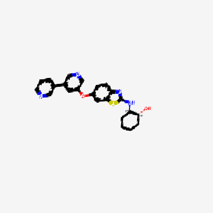 O[C@@H]1CCCC[C@H]1Nc1nc2ccc(Oc3cncc(-c4cccnc4)c3)cc2s1